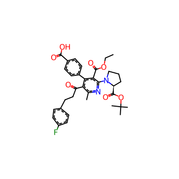 CCOC(=O)c1c(N2CCC[C@H]2C(=O)OC(C)(C)C)nc(C)c(C(=O)CCc2ccc(F)cc2)c1-c1ccc(C(=O)O)cc1